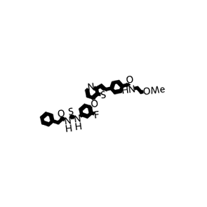 COCCNC(=O)c1ccc(-c2cc3nccc(Oc4ccc(NC(=S)NC(=O)Cc5ccccc5)cc4F)c3s2)cc1